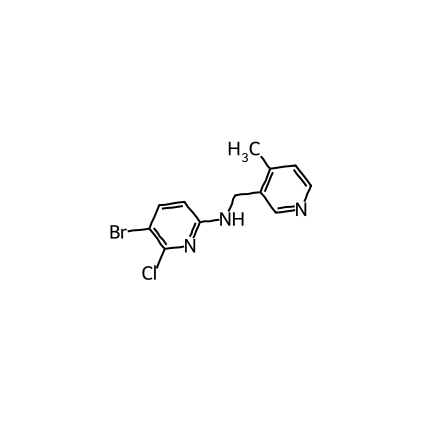 Cc1ccncc1CNc1ccc(Br)c(Cl)n1